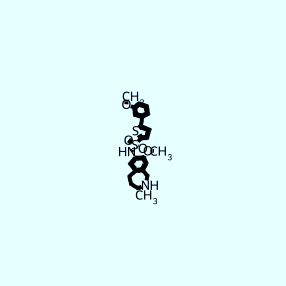 COc1cccc(-c2ccc(S(=O)(=O)Nc3cc4c(cc3OC)CNC(C)CC4)s2)c1